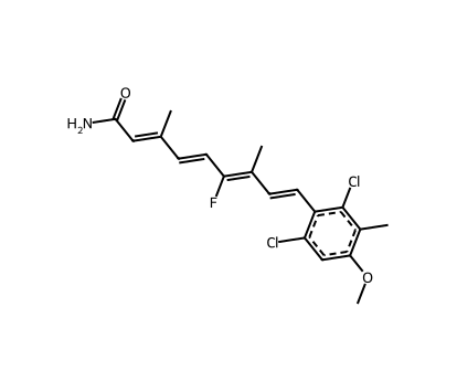 COc1cc(Cl)c(/C=C/C(C)=C(F)/C=C/C(C)=C/C(N)=O)c(Cl)c1C